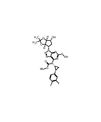 CCCSc1nc(N(C(=O)OC(C)(C)C)[C@@H]2C[C@H]2c2ccc(F)c(F)c2)c2nnn([C@@H]3C[C@H](O)[C@H]4OC(C)(C)O[C@H]43)c2n1